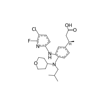 CC(C)CN(c1ccc([C@H](C)CC(=O)O)cc1Nc1ccc(Cl)c(F)n1)C1CCOCC1